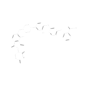 CNC(=O)c1ccccc1Nc1cc(Nc2ccc(N3CCN(Cc4ccc5c(c4F)C(=O)N(C4CCC(=O)NC4=O)C5=O)CC3)cc2OC)ncc1C(F)(F)F